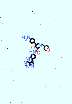 Cn1cc(-c2ccc(NC(=O)c3cn(CC4CCOCC4)cc(-c4ccc(N)cc4)c3=O)cc2)c2c(N)ncnc21